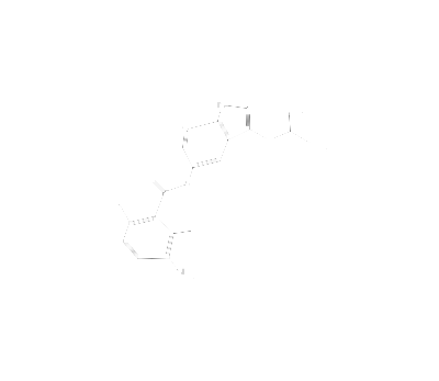 CC(C)Oc1n[nH]c2ncc(NC(=O)c3c(Cl)ccc(N)c3F)cc12